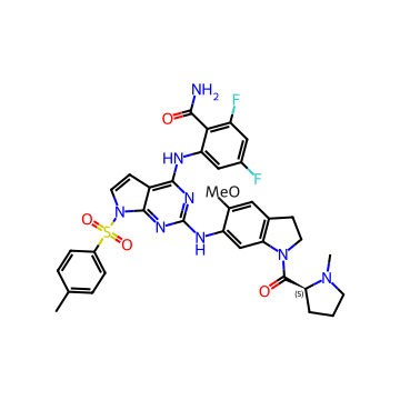 COc1cc2c(cc1Nc1nc(Nc3cc(F)cc(F)c3C(N)=O)c3ccn(S(=O)(=O)c4ccc(C)cc4)c3n1)N(C(=O)[C@@H]1CCCN1C)CC2